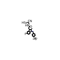 CC1=C(CC(=O)NCC([SeH])C#N)c2cc(F)ccc2/C1=C\c1ccc([S+](C)[O-])cc1